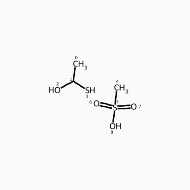 CC(O)S.CS(=O)(=O)O